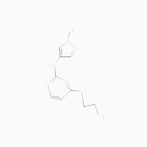 Cn1cc(Nc2nccc(NCCC#N)n2)cn1